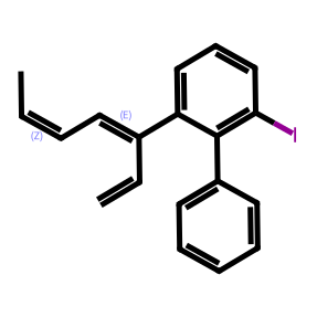 C=C/C(=C\C=C/C)c1cccc(I)c1-c1ccccc1